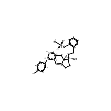 CCS(=O)(=O)Nc1ccccc1CC[C@]1(O)CCC2=Cc3c(cnn3-c3ccc(F)cc3)C[C@@]21C